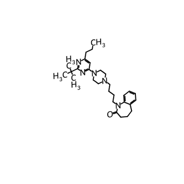 CCCc1cc(N2CCN(CCCCN3C(=O)CCCc4ccccc43)CC2)nc(C(C)(C)C)n1